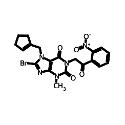 Cn1c(=O)n(CC(=O)c2ccccc2[N+](=O)[O-])c(=O)c2c1nc(Br)n2CC1=CCCC1